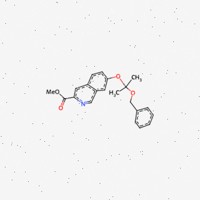 COC(=O)c1cc2ccc(OC(C)(C)OCc3ccccc3)cc2cn1